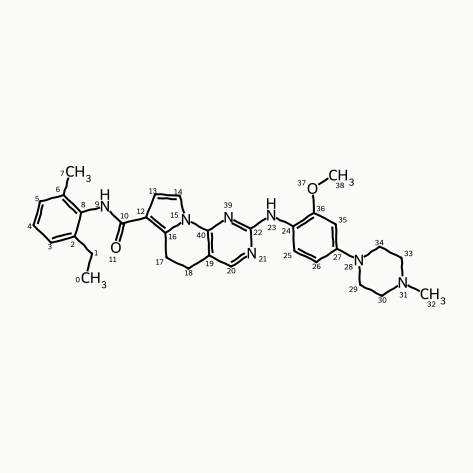 CCc1cccc(C)c1NC(=O)c1ccn2c1CCc1cnc(Nc3ccc(N4CCN(C)CC4)cc3OC)nc1-2